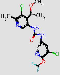 CO[C@H](C)c1c(NC(=O)Nc2cnc(OC(F)F)c(Cl)c2)cnc(C)c1Cl